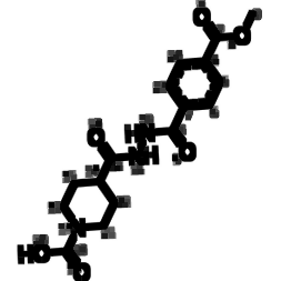 COC(=O)c1ccc(C(=O)NNC(=O)C2CCN(C(=O)O)CC2)cc1